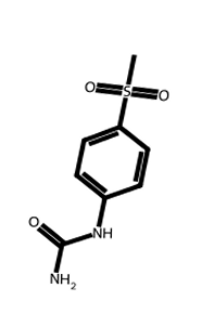 CS(=O)(=O)c1ccc(NC(N)=O)cc1